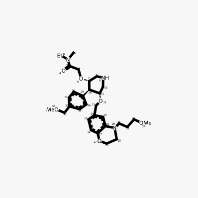 CCN(C)C(=O)CO[C@@H]1CNC[C@H](OCc2ccc3c(c2)N(CCCOC)CCO3)[C@H]1c1ccc(COC)cc1